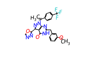 COc1cccc(Cc2nc3c(c(-c4nnco4)nn3[C@H](C)c3ccc(C(F)(F)F)cc3)c(=O)[nH]2)c1